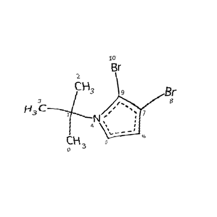 CC(C)(C)n1ccc(Br)c1Br